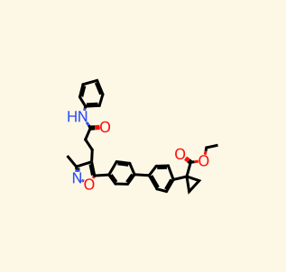 CCOC(=O)C1(c2ccc(-c3ccc(-c4onc(C)c4CCC(=O)Nc4ccccc4)cc3)cc2)CC1